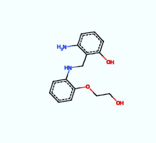 Nc1cccc(O)c1CNc1ccccc1OCCO